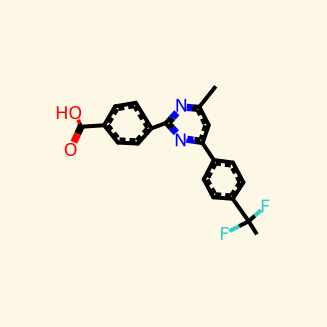 Cc1cc(-c2ccc(C(C)(F)F)cc2)nc(-c2ccc(C(=O)O)cc2)n1